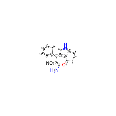 N#CC1=C(N)Oc2cccc3[nH]cc(c23)C1c1ccccc1